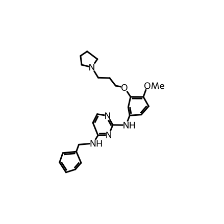 COc1ccc(Nc2nccc(NCc3ccccc3)n2)cc1OCCCN1CCCC1